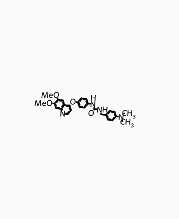 COc1cc2nccc(Oc3ccc(NC(=O)NCc4ccc(N(C)C)cc4)cc3)c2cc1OC